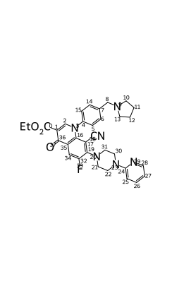 CCOC(=O)c1cn(-c2ccc(CN3CCCC3)cc2)c2c(C#N)c(N3CCN(c4ccccn4)CC3)c(F)cc2c1=O